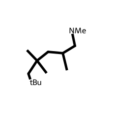 CNCC(C)CC(C)(C)CC(C)(C)C